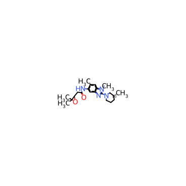 Cc1cc2c(cc1NC(=O)CC1OC1(C)C)nc(N1CCC[C@@H](C)C1)n2C